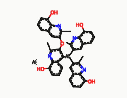 Cc1nc2c(O)cccc2cc1Oc1c(C)nc2c(O)cccc2[c]1[Al]([c]1cc2cccc(O)c2nc1C)[c]1cc2cccc(O)c2nc1C.[Al]